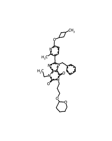 CCn1c(=O)n(CCCOC2CCCCO2)c(=O)c2c1nc(-c1ccc(OC3CC(C)C3)nc1C)n2Cc1ccccc1